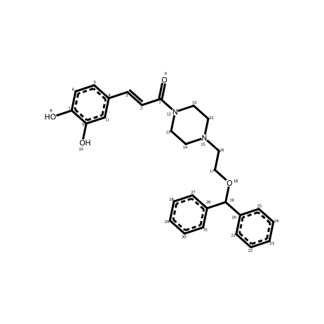 O=C(C=Cc1ccc(O)c(O)c1)N1CCN(CCOC(c2ccccc2)c2ccccc2)CC1